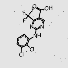 O=C(O)c1cnc(Nc2cccc(Cl)c2Cl)nc1C(F)(F)F